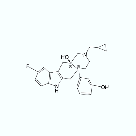 Oc1cccc([C@@]23CCN(CC4CC4)C[C@@]2(O)Cc2c([nH]c4ccc(F)cc24)C3)c1